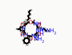 CCCCCC[C@H]1O[C@@H](C)NC(=O)[C@H](CNCCN)NC(=O)[C@H](CN)NC(=O)[C@H](C2CCCCCC2)NC(=O)[C@H](CC(C)C)N(C)C(=O)[C@@H]1C